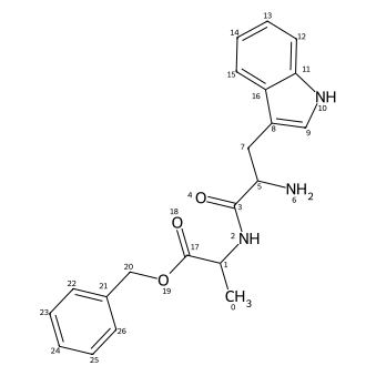 CC(NC(=O)C(N)Cc1c[nH]c2ccccc12)C(=O)OCc1ccccc1